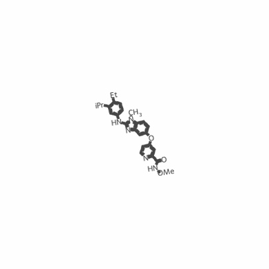 CCc1ccc(Nc2nc3cc(Oc4ccnc(C(=O)NOC)c4)ccc3n2C)cc1C(C)C